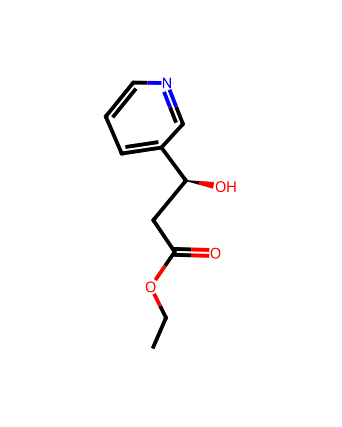 CCOC(=O)C[C@H](O)c1cccnc1